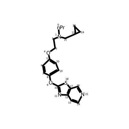 CCCN(CCOc1ccc(Oc2nc3ccncc3s2)cc1)CC1CC1